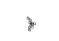 COc1ccc(Cn2c(Cl)cc(=O)n(Cc3ccc(OC)cc3)c2=O)cc1